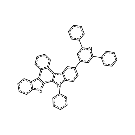 c1ccc(-c2cc(-c3ccc4c(c3)c3c5ccccc5c5c6ccccc6sc5c3n4-c3ccccc3)cc(-c3ccccc3)n2)cc1